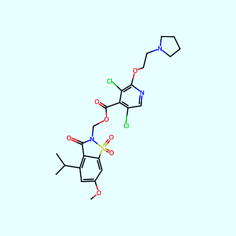 COc1cc(C(C)C)c2c(c1)S(=O)(=O)N(COC(=O)c1c(Cl)cnc(OCCN3CCCC3)c1Cl)C2=O